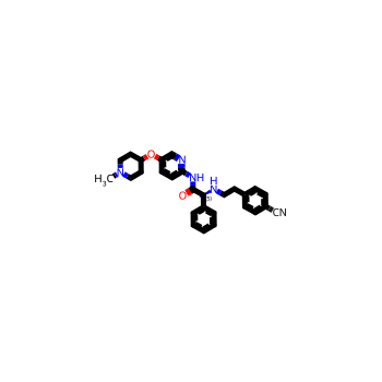 CN1CCC(Oc2ccc(NC(=O)[C@@H](NCCc3ccc(C#N)cc3)c3ccccc3)nc2)CC1